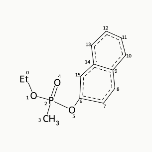 CCOP(C)(=O)Oc1ccc2ccccc2c1